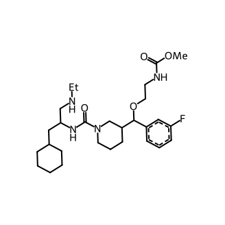 CCNCC(CC1CCCCC1)NC(=O)N1CCCC(C(OCCNC(=O)OC)c2cccc(F)c2)C1